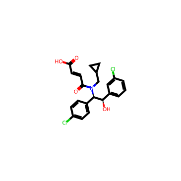 O=C(O)/C=C/C(=O)N(CC1CC1)[C@H](c1ccc(Cl)cc1)[C@H](O)c1cccc(Cl)c1